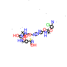 C[C@H](NC(=O)[C@@H]1C[C@@H](O)CN1C(=O)[C@@H](NC(=O)COCCN1CCN(c2ccc(C(=O)NC3C(C)(C)C(Oc4ccc(C#N)c(Cl)c4)C3(C)C)cn2)CC1)C(C)(C)C)c1ccc(-c2scnc2CO)cc1